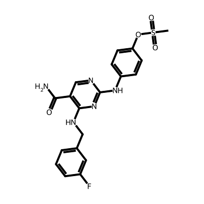 CS(=O)(=O)Oc1ccc(Nc2ncc(C(N)=O)c(NCc3cccc(F)c3)n2)cc1